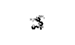 Cc1nc2ccc(-c3cc(N)nc(N)c3)nc2n1CCC1CCCO1